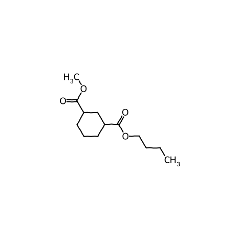 CCCCOC(=O)C1CCCC(C(=O)OC)C1